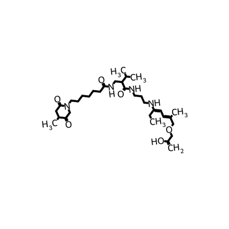 C=C(O)COC/C(C)=C/C=C(\CC)NCCCNC(=O)C(CNC(=O)CCCCCCN1CC(=O)C(C)CC1=O)C(C)C